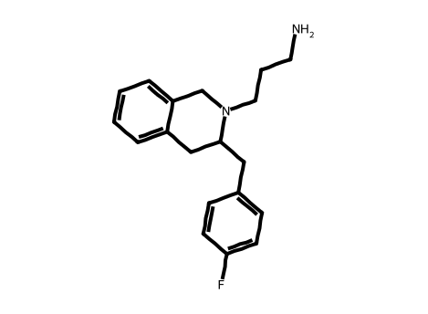 NCCCN1Cc2ccccc2CC1Cc1ccc(F)cc1